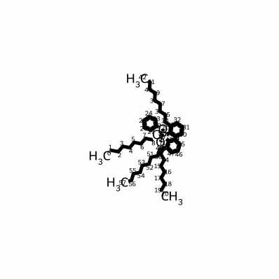 CCCCCCCCCOP(OCCCCCCCCC)(Oc1ccccc1)(c1ccccc1CCCCCCCCC)c1ccccc1CCCCCCCCC